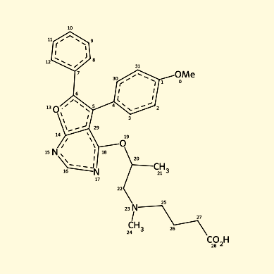 COc1ccc(-c2c(-c3ccccc3)oc3ncnc(OC(C)CN(C)CCCC(=O)O)c23)cc1